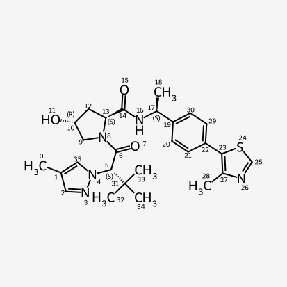 Cc1cnn([C@H](C(=O)N2C[C@H](O)C[C@H]2C(=O)N[C@@H](C)c2ccc(-c3scnc3C)cc2)C(C)(C)C)c1